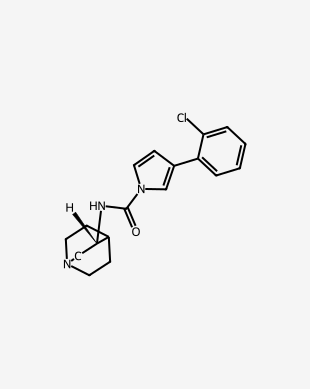 O=C(N[C@H]1CN2CCC1CC2)n1ccc(-c2ccccc2Cl)c1